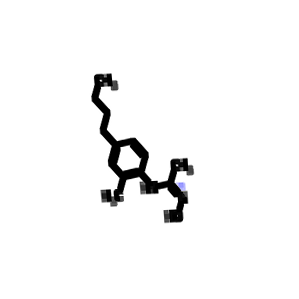 CCCCc1ccc(N/C(C)=N\O)c(C)c1